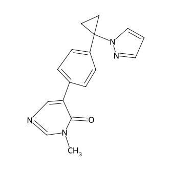 Cn1cncc(-c2ccc(C3(n4cccn4)CC3)cc2)c1=O